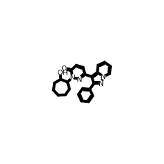 O=c1ccc(-c2c(-c3ccccc3)nn3ccccc23)nn1C1CCCCCC1O